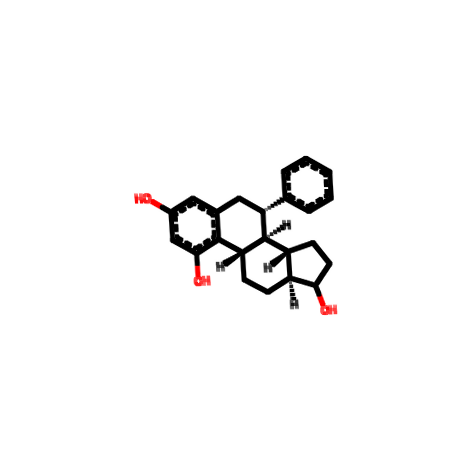 Oc1cc(O)c2c(c1)C[C@H](c1ccccc1)[C@H]1[C@@H]3CCC(O)[C@H]3CC[C@H]21